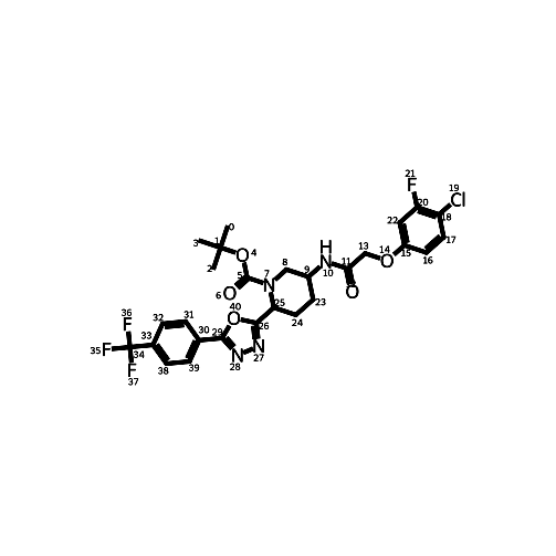 CC(C)(C)OC(=O)N1CC(NC(=O)COc2ccc(Cl)c(F)c2)CCC1c1nnc(-c2ccc(C(F)(F)F)cc2)o1